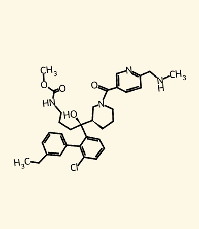 CCc1cccc(-c2c(Cl)cccc2[C@](O)(CCCNC(=O)OC)[C@@H]2CCCN(C(=O)c3ccc(CNC)nc3)C2)c1